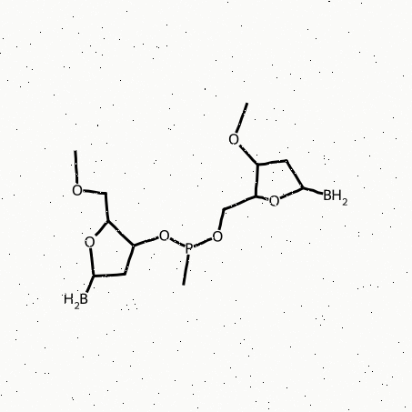 BC1CC(OC)C(COP(C)OC2CC(B)OC2COC)O1